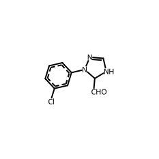 O=CC1NC=NN1c1cccc(Cl)c1